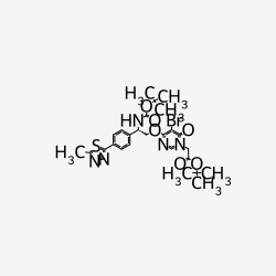 Cc1nnc(-c2ccc([C@H](COc3ncn(CC(=O)OC(C)(C)C)c(=O)c3Br)NC(=O)OC(C)(C)C)cc2)s1